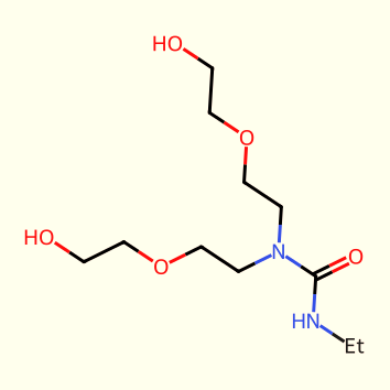 [CH2]CNC(=O)N(CCOCCO)CCOCCO